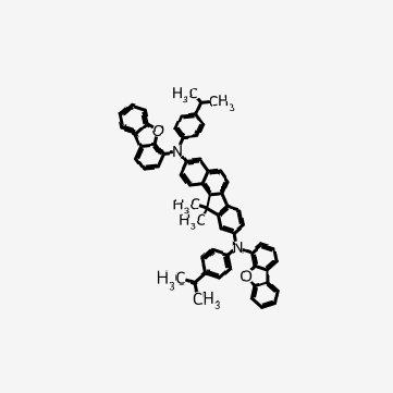 CC(C)c1ccc(N(c2ccc3c(c2)C(C)(C)c2c-3ccc3cc(N(c4ccc(C(C)C)cc4)c4cccc5c4oc4ccccc45)ccc23)c2cccc3c2oc2ccccc23)cc1